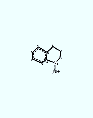 [NH]N1CCCc2ccccc21